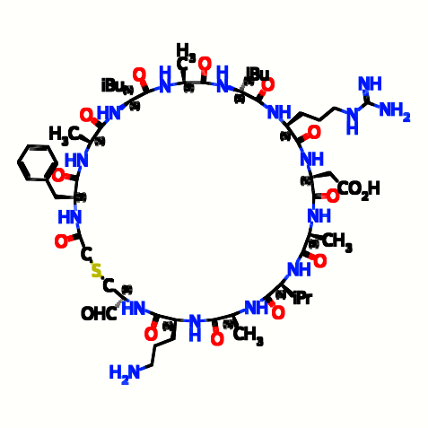 CC[C@H](C)[C@@H]1NC(=O)[C@H](C)NC(=O)[C@H](Cc2ccccc2)NC(=O)CSC[C@@H](C=O)NC(=O)[C@H](CCCN)NC(=O)[C@H](C)NC(=O)[C@H](C(C)C)NC(=O)[C@H](C)NC(=O)[C@H](CC(=O)O)NC(=O)[C@H](CCCNC(=N)N)NC(=O)[C@H]([C@@H](C)CC)NC(=O)[C@H](C)NC1=O